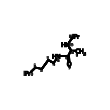 CC(C)CCCCNC(=O)[C@H](C)NC(C)C